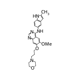 COc1cc2c(Nc3ccc4[nH]c(C)cc4c3)ncnc2cc1OCCCN1CCOCC1